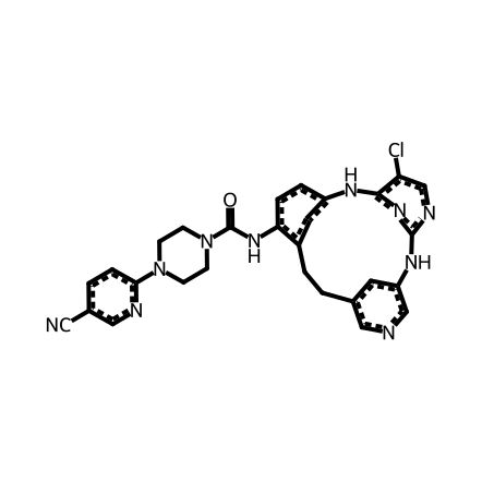 N#Cc1ccc(N2CCN(C(=O)Nc3ccc4cc3CCc3cncc(c3)Nc3ncc(Cl)c(n3)N4)CC2)nc1